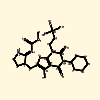 COC(=O)/N=C1\NCCN1Cc1sc2c(c1C)c(=O)n(C1CCCCC1)c(=O)n2CCC(F)(F)F